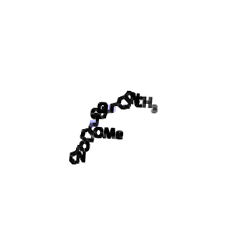 COc1cc(OCc2ccccn2)ccc1/C=C/C(=O)CC(=O)/C=C/c1ccc2c(ccn2C)c1